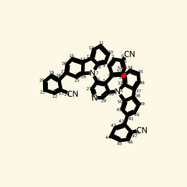 N#Cc1ccc(-c2c(-n3c4ccccc4c4ccc(-c5ccccc5C#N)cc43)cncc2-n2c3ccccc3c3ccc(-c4ccccc4C#N)cc32)cc1